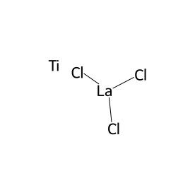 [Cl][La]([Cl])[Cl].[Ti]